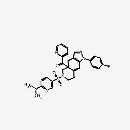 CN(C)c1ccc(S(=O)(=O)N2CCC3=Cc4c(cnn4-c4ccc(F)cc4)CC3(C(=O)c3ccccn3)C2)cn1